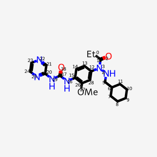 CCC(=O)N(NCC1CCCCC1)c1ccc(NC(=O)Nc2cnccn2)c(OC)c1